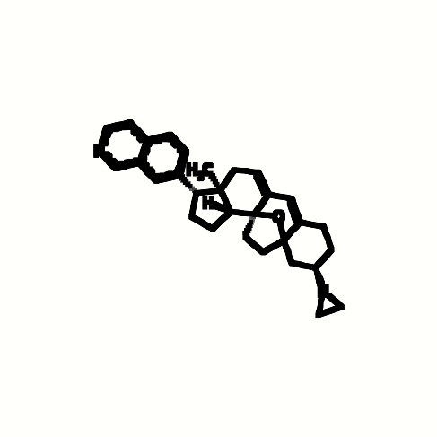 C[C@]12CC=C3C=C4CC[C@@H](N5CC5)CC45CC[C@]3(O5)[C@@H]1CC[C@@H]2c1ccc2ccncc2c1